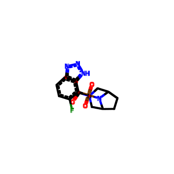 O=C(c1cnn[nH]1)N1CC2CCC(C1)N2S(=O)(=O)c1ccccc1F